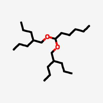 CCCCCC(OCC(CCC)CCC)OCC(CCC)CCC